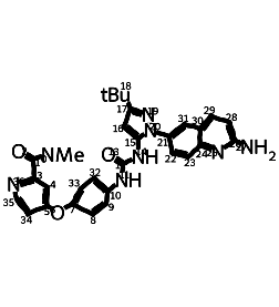 CNC(=O)c1cc(Oc2ccc(NC(=O)Nc3cc(C(C)(C)C)nn3-c3ccc4nc(N)ccc4c3)cc2)ccn1